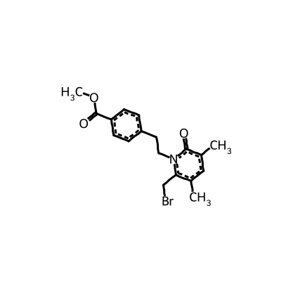 COC(=O)c1ccc(CCn2c(CBr)c(C)cc(C)c2=O)cc1